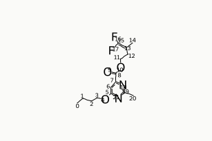 CCCCOc1cc(C(=O)OCCC(C)=C(F)F)nc(C)n1